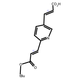 CC(C)(C)OC(=O)/C=C/c1ccc(/C=C/C(=O)O)cn1